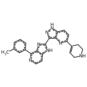 Cc1cccc(-c2nccc3[nH]c(-c4n[nH]c5ccc(C6=CCNCC6)nc45)nc23)c1